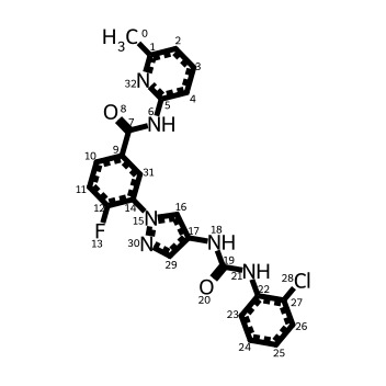 Cc1cccc(NC(=O)c2ccc(F)c(-n3cc(NC(=O)Nc4ccccc4Cl)cn3)c2)n1